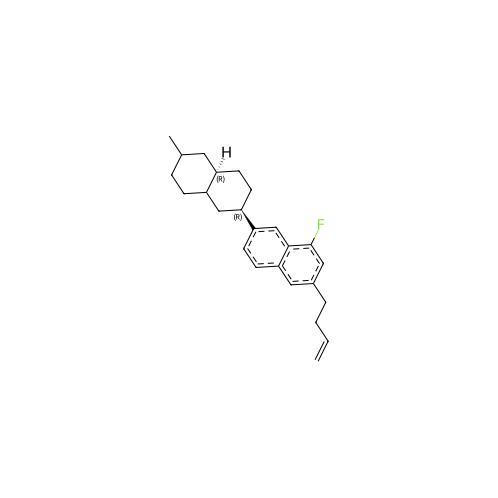 C=CCCc1cc(F)c2cc([C@@H]3CC[C@@H]4CC(C)CCC4C3)ccc2c1